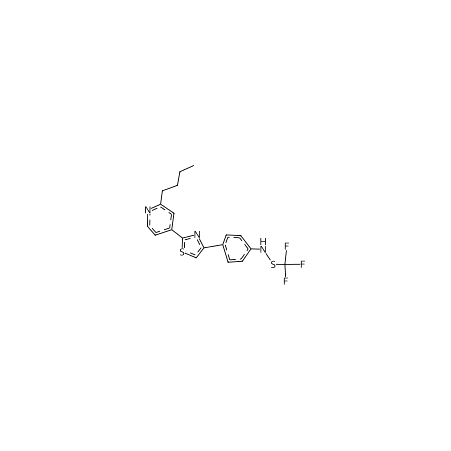 CCCCc1cc(-c2nc(-c3ccc(NSC(F)(F)F)cc3)cs2)ccn1